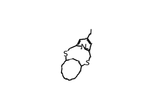 Ic1cc2nc(c1)CSC1CCCCCCC(CC1)SC2